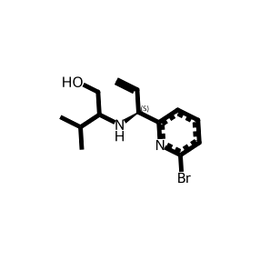 C=C[C@H](NC(CO)C(C)C)c1cccc(Br)n1